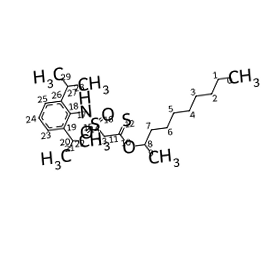 CCCCCCCCC(C)OC(=S)CS(=O)(=O)Nc1c(C(C)C)cccc1C(C)C